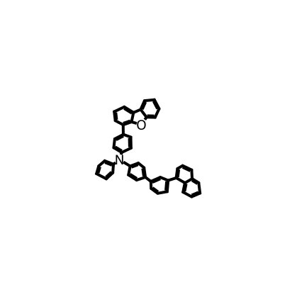 c1ccc(N(c2ccc(-c3cccc(-c4cccc5ccccc45)c3)cc2)c2ccc(-c3cccc4c3oc3ccccc34)cc2)cc1